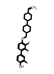 C=CC1CCC(C2CCC(COc3ccc(-c4ccc(O)c(F)c4)c(F)c3F)CC2)CC1